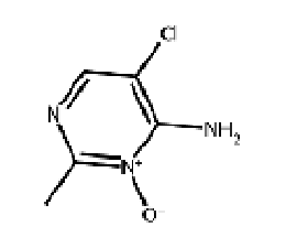 Cc1ncc(Cl)c(N)[n+]1[O-]